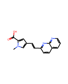 Cn1cc(C=Cc2ccc3cccnc3n2)cc1C(=O)O